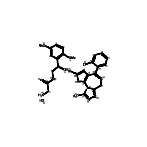 COc1ccc(OC)c(C(O)CNC(=O)CN)c1.Cc1nnc2n1-c1sc(Br)cc1C(c1ccccc1Cl)=NC2.Cl